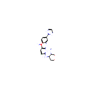 CNC1COCCC1Nc1nc(Nc2cccc(-c3ncccn3)c2)c(C(N)=O)cc1F